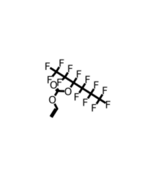 C=COC(=O)OC(F)(C(F)(F)C(F)(F)F)C(F)(F)C(F)(F)C(F)(F)F